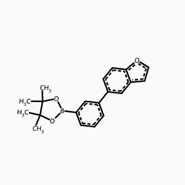 CC1(C)OB(c2cccc(-c3ccc4occc4c3)c2)OC1(C)C